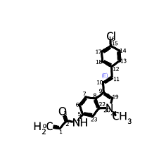 C=CC(=O)Nc1ccc2c(/C=C/c3ccc(Cl)cc3)cn(C)c2c1